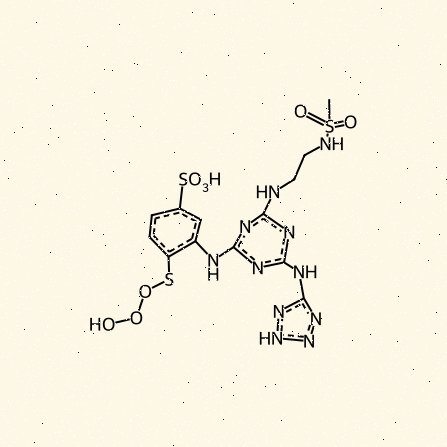 CS(=O)(=O)NCCNc1nc(Nc2nn[nH]n2)nc(Nc2cc(S(=O)(=O)O)ccc2SOOO)n1